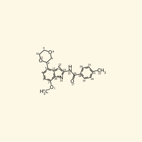 COc1ccc(C2COCCO2)c2sc(NC(=O)c3ccc(C)cc3)nc12